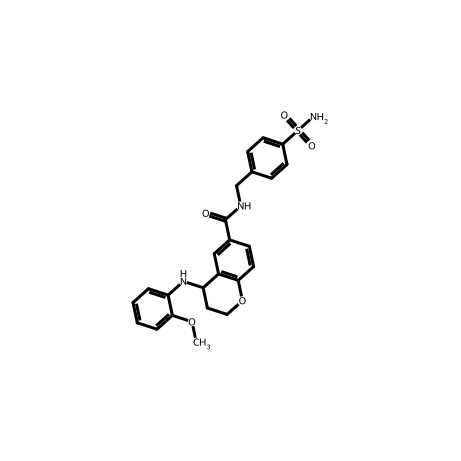 COc1ccccc1NC1CCOc2ccc(C(=O)NCc3ccc(S(N)(=O)=O)cc3)cc21